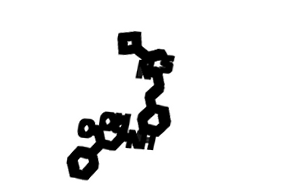 O=C(CC(C(=O)O)c1ccccc1)Nc1cccc(C=Cc2nc(C3CCC3)cs2)c1